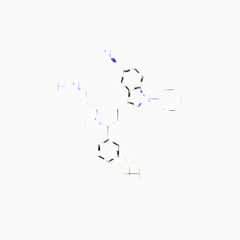 N#Cc1ccc2c(c1)c(CCC(NCCCN)c1cccc(OC(F)(F)F)c1)cn2C1CCCCC1